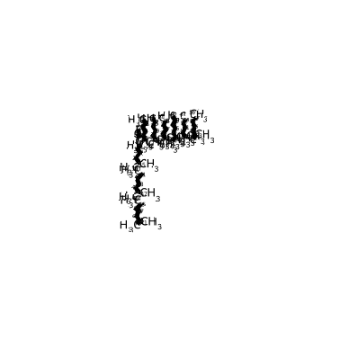 CCCCCC(C)C.CCCCCC(C)C.CCCCCC(C)C.CCCCCC(C)C.CCCCCC(C)C.CCCCCC(C)C.CCCCCC(C)C.CCCCCC(C)C.CCCCCC(C)C.CCOCC